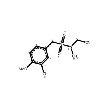 COc1ccc(CS(=O)(=O)N(C)CC#N)cc1Cl